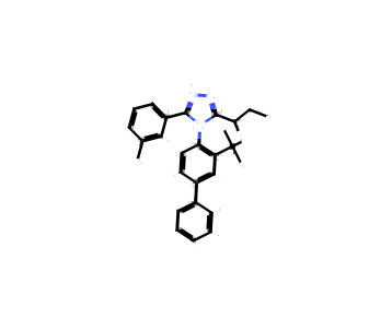 CCC(C)c1nnc(-c2cccc(C)c2)n1-c1ccc(-c2ccccc2)cc1C(C)(C)C